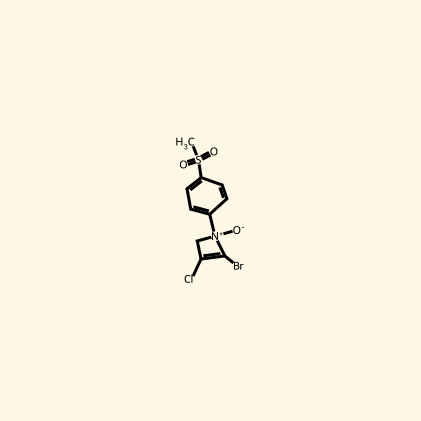 CS(=O)(=O)c1ccc([N+]2([O-])CC(Cl)=C2Br)cc1